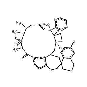 CO[C@@]1(c2cccnn2)/C=C/C[C@H](C)[C@@H](C)S(=O)(=O)N(C)C(=O)c2ccc3c(c2)N(C[C@@H]2CC[C@H]21)C[C@@]1(CCCc2cc(Cl)ccc21)CO3